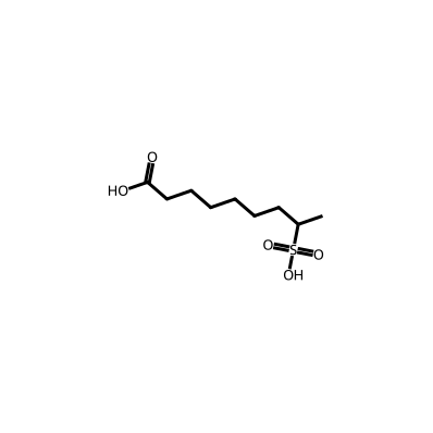 CC(CCCCCCC(=O)O)S(=O)(=O)O